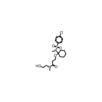 CN(CCO)C(=O)CCOC1(N(C)S(=O)(=O)c2ccc(Cl)cc2)CCCCC1